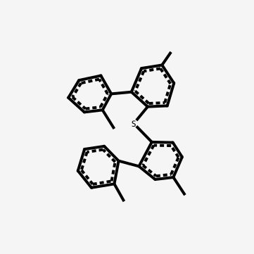 Cc1ccc(Sc2ccc(C)cc2-c2ccccc2C)c(-c2ccccc2C)c1